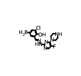 Bc1cc(Cl)c(O)c(/C=N/Nc2ncc(F)c(N3CCNCC3)n2)c1